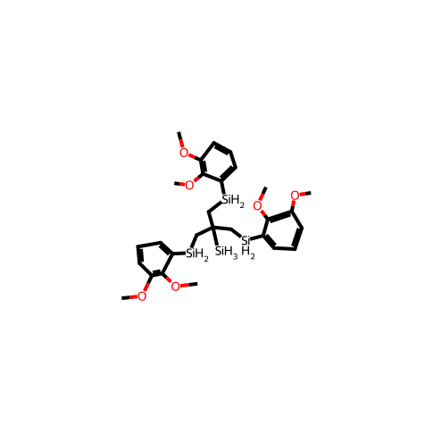 COc1cccc([SiH2]CC([SiH3])(C[SiH2]c2cccc(OC)c2OC)C[SiH2]c2cccc(OC)c2OC)c1OC